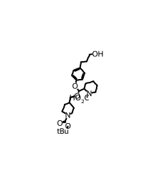 CC(C)(C)OC(=O)N1CCC(COC(Oc2ccc(CCCO)cc2)C2CCCCN2C(=O)O)CC1